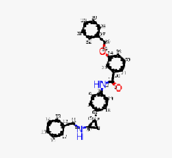 O=C(Nc1ccc([C@@H]2C[C@H]2NCc2ccccc2)cc1)c1cccc(OCc2ccccc2)c1